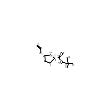 C=CC[C@H]1CC[C@@H](C(=O)OC(C)(C)C)N1